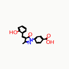 CC1=NN(c2ccc(C(=O)O)cc2)C(=O)C1=Cc1ccccc1O